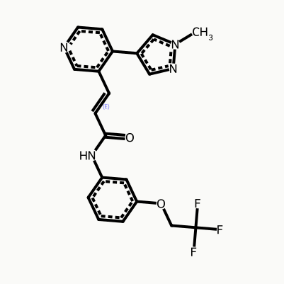 Cn1cc(-c2ccncc2/C=C/C(=O)Nc2cccc(OCC(F)(F)F)c2)cn1